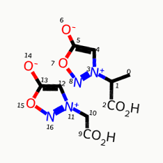 CC(C(=O)O)[n+]1cc([O-])on1.O=C(O)C[n+]1cc([O-])on1